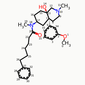 COc1cccc([C@@]23CCN(C)C[C@@]2(O)CC[C@H](N(C)C(=O)CCCCCc2ccccc2)C3)c1